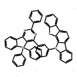 c1ccc(-c2nc(-c3cccc(-n4c5ccccc5c5ccc6c7ccccc7sc6c54)c3)c3c(n2)-c2ccccc2[Si]3(c2ccccc2)c2ccccc2)cc1